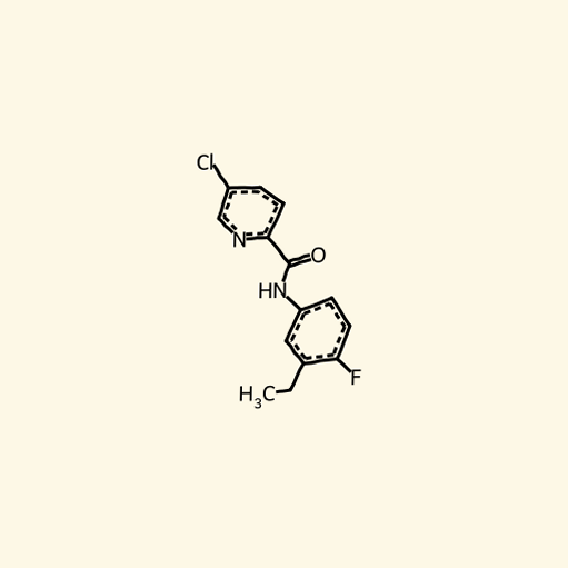 CCc1cc(NC(=O)c2ccc(Cl)cn2)ccc1F